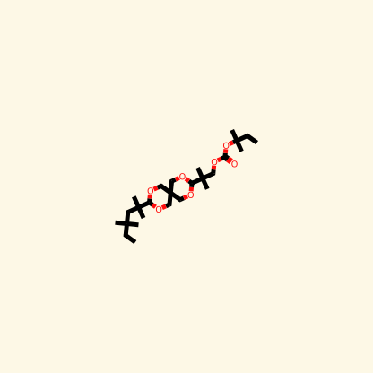 CCC(C)(C)CC(C)(C)C1OCC2(COC(C(C)(C)COC(=O)OC(C)(C)CC)OC2)CO1